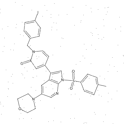 Cc1ccc(S(=O)(=O)n2cc(-c3ccn(Cc4ccc(I)cc4)c(=O)c3)c3cc(N4CCOCC4)cnc32)cc1